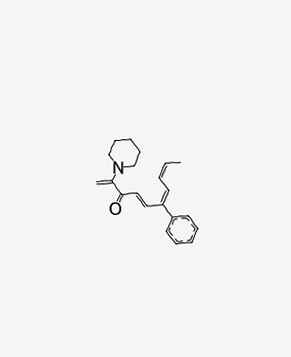 C=C(C(=O)/C=C/C(=C\C=C/C)c1ccccc1)N1CCCCC1